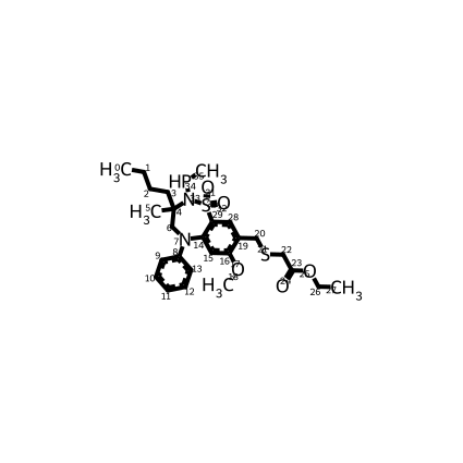 CCCCC1(C)CN(c2ccccc2)c2cc(OC)c(CSCC(=O)OCC)cc2S(=O)(=O)N1PC